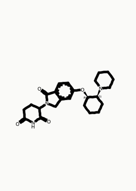 O=C1CCC(N2Cc3cc(O[C@@H]4CCCC[C@@H]4N4CCCCC4)ccc3C2=O)C(=O)N1